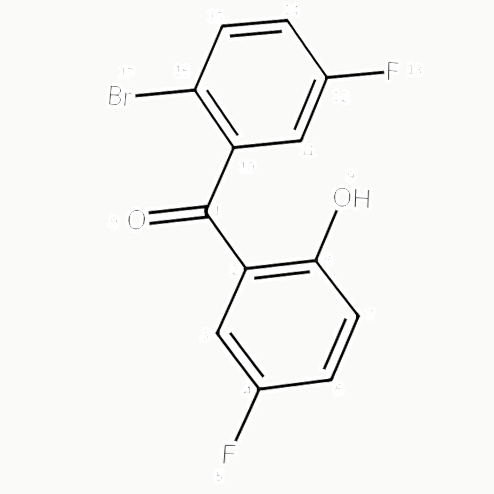 O=C(c1cc(F)ccc1O)c1cc(F)ccc1Br